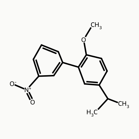 COc1ccc(C(C)C)cc1-c1cccc([N+](=O)[O-])c1